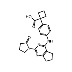 O=C1CCCN1c1nc2c(c(Nc3ccc(C4(C(=O)O)CCC4)cc3)n1)CCC2